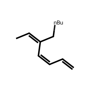 C=C/C=C\C(=C/C)CCCCC